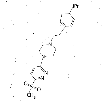 CC(C)c1ccc(CCN2CCN(c3ccc(S(C)(=O)=O)nn3)CC2)cc1